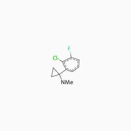 CNC1(c2cccc(F)c2Cl)CC1